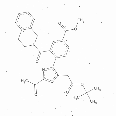 COC(=O)c1ccc(-c2nc(C(C)=O)cn2CC(=O)OC(C)(C)C)c(C(=O)N2CCc3ccccc3C2)c1